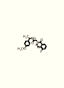 COc1ccc(C(C)NC(=O)Cn2nnc3c(F)cccc3c2=O)cc1